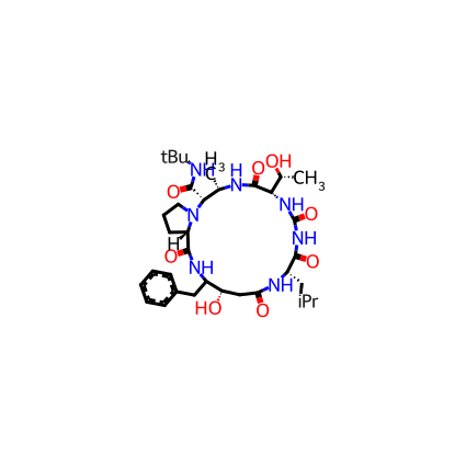 CC(C)C[C@@H]1NC(=O)C[C@H](O)C(Cc2ccccc2)NC(=O)[C@@H]2CCCN2[C@H](C(=O)NC(C)(C)C)[C@H](C)NC(=O)[C@H]([C@@H](C)O)NC(=O)NC1=O